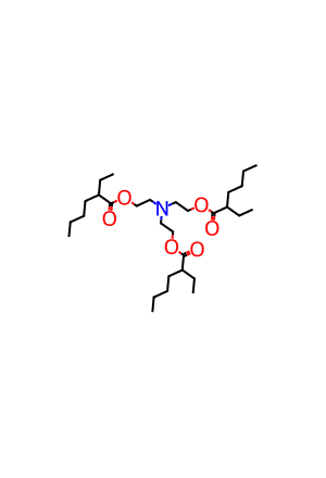 CCCCC(CC)C(=O)OCCN(CCOC(=O)C(CC)CCCC)CCOC(=O)C(CC)CCCC